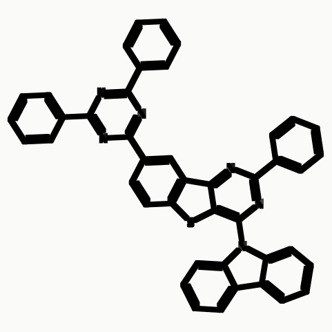 c1ccc(-c2nc(-c3ccccc3)nc(-c3ccc4sc5c(-n6c7ccccc7c7ccccc76)nc(-c6ccccc6)nc5c4c3)n2)cc1